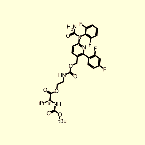 CC(C)[C@H](NC(=O)OC(C)(C)C)C(=O)OCCNC(=O)OCc1ccc(N(C(N)=O)c2c(F)cccc2F)nc1-c1ccc(F)cc1F